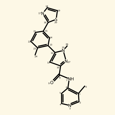 Cc1cnccc1NC(=O)c1cc(-c2cc(-c3nccs3)ccc2C)n(C)n1